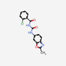 Cc1nc2ccc(NC(=O)NC(=O)c3ccccc3Cl)cc2o1